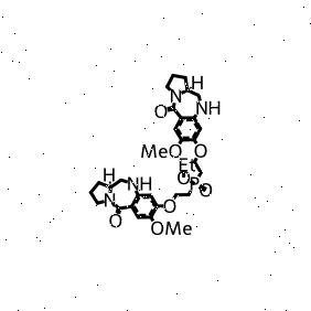 CCOP(=O)(CCOc1cc2c(cc1OC)C(=O)N1CCC[C@H]1CN2)CCOc1cc2c(cc1OC)C(=O)N1CCC[C@H]1CN2